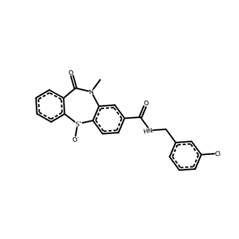 CN1C(=O)c2ccccc2[S+]([O-])c2ccc(C(=O)NCc3cccc(Cl)c3)cc21